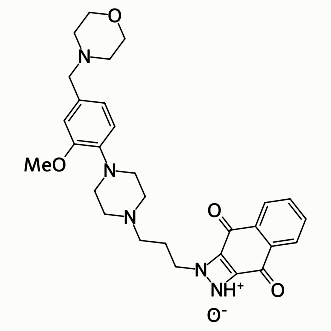 COc1cc(CN2CCOCC2)ccc1N1CCN(CCCN2C3=C(C(=O)c4ccccc4C3=O)[NH+]2[O-])CC1